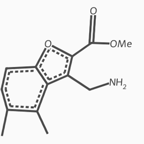 COC(=O)c1oc2ccc(C)c(C)c2c1CN